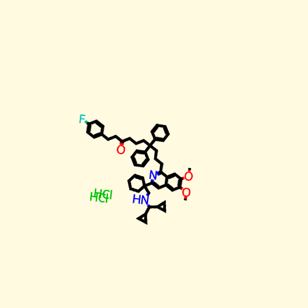 COc1cc2cc(C3(CNC(C4CC4)C4CC4)C=CCCC3)nc(CCCC(CCCC(=O)CCc3ccc(F)cc3)(c3ccccc3)c3ccccc3)c2cc1OC.Cl.Cl